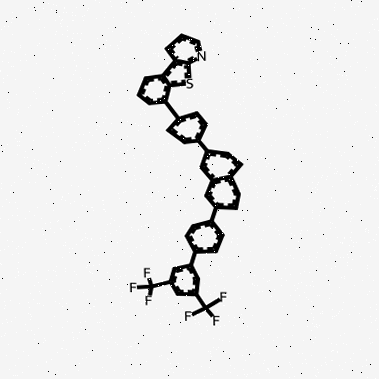 FC(F)(F)c1cc(-c2ccc(-c3ccc4ccc(-c5ccc(-c6cccc7c6sc6ncccc67)cc5)cc4c3)cc2)cc(C(F)(F)F)c1